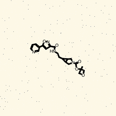 CC1(OC(=O)N2CC3C(CCNC(=O)c4cc(-c5cccnc5)on4)C3C2)COC1